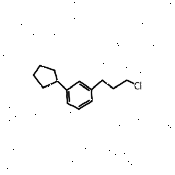 ClCCCc1cccc(C2CCCC2)c1